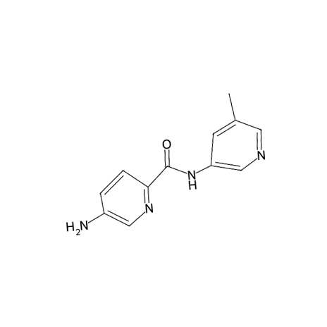 Cc1cncc(NC(=O)c2ccc(N)cn2)c1